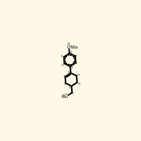 CCC(C)CC1CC=C(c2ccc(OC)cc2)CC1